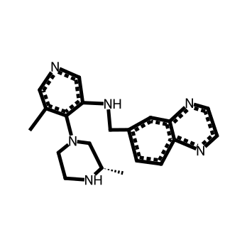 Cc1cncc(NCc2ccc3nccnc3c2)c1N1CCN[C@@H](C)C1